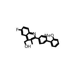 COc1ccccc1-c1ccc(-c2nc3ccc(F)cc3c(CO)c2C)cc1